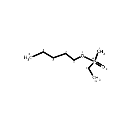 CCCCCOP(C)(=O)CC